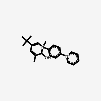 CC1=CC(C(C)(C)C)=C[N+](C)(c2ccc(-[n+]3ccccc3)cc2)C1O